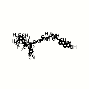 CC1=C(C)C(=O)C(C(C)(C)CC(=O)N(C)CCN(CCOCCOCCC(=O)NCCCCC(C)NC(=O)CCCC2CCC3C4CCC5C[C@H](O)CCC5(C)C4CCC23C)C(=O)Oc2ccc3nc(C#N)sc3c2)=C(C)C1=O